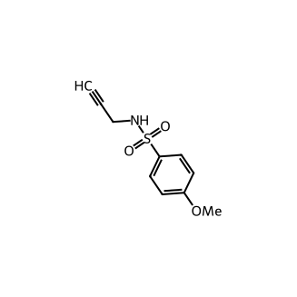 C#CCNS(=O)(=O)c1ccc(OC)cc1